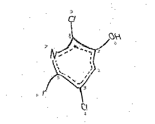 Oc1cc(Cl)c(I)nc1Cl